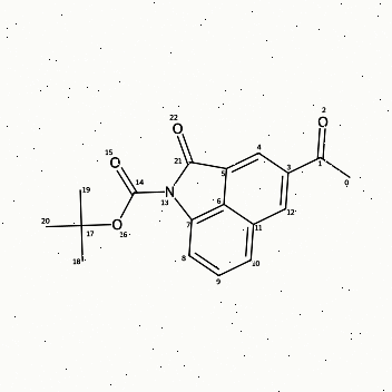 CC(=O)c1cc2c3c(cccc3c1)N(C(=O)OC(C)(C)C)C2=O